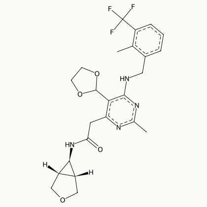 Cc1nc(CC(=O)N[C@H]2[C@@H]3COC[C@@H]32)c(C2OCCO2)c(NCc2cccc(C(F)(F)F)c2C)n1